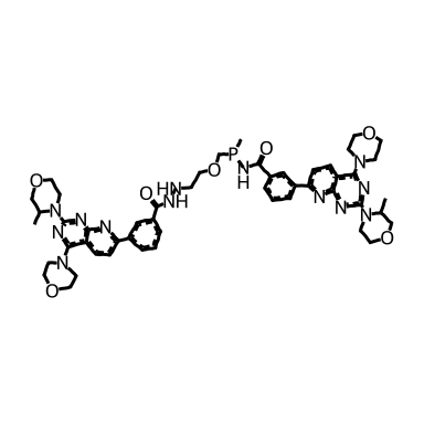 CC1COCCN1c1nc(N2CCOCC2)c2ccc(-c3cccc(C(=O)NNCCOCP(C)NC(=O)c4cccc(-c5ccc6c(N7CCOCC7)nc(N7CCOCC7C)nc6n5)c4)c3)nc2n1